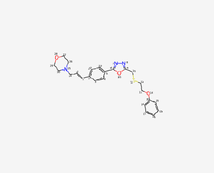 C(=C\c1ccc(-c2nnc(CSCCOc3ccccc3)o2)cc1)/CN1CCOCC1